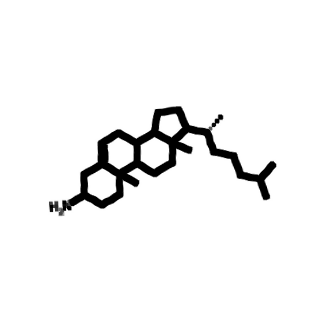 CC(C)CCC[C@@H](C)C1CCC2C3CC=C4CC(N)CCC4(C)C3CCC21C